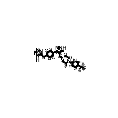 CC1CN(Cc2c[nH]nc2-c2ccc(Cc3nnn[nH]3)cc2)CCN1c1ccc(C(F)(F)F)cn1